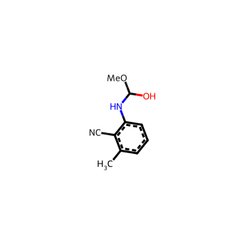 COC(O)Nc1cccc(C)c1C#N